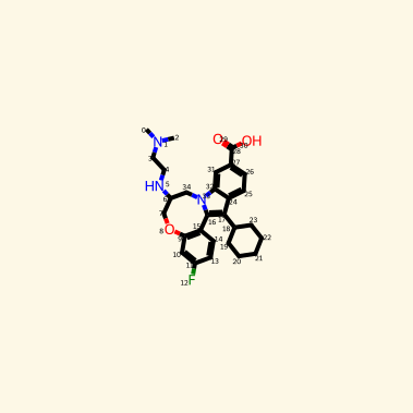 CN(C)CCNC1COc2cc(F)ccc2-c2c(C3CCCCC3)c3ccc(C(=O)O)cc3n2C1